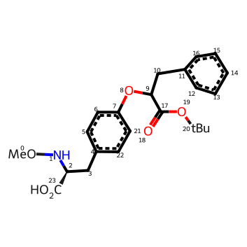 CON[C@@H](Cc1ccc(OC(Cc2ccccc2)C(=O)OC(C)(C)C)cc1)C(=O)O